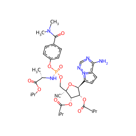 CC(C)OC(=O)[C@H](C)N[P@](=O)(OC[C@@]1(C#N)O[C@@H](c2ccc3c(N)ncnn23)[C@H](OC(=O)C(C)C)[C@@H]1OC(=O)C(C)C)Oc1ccc(C(=O)N(C)C)cc1